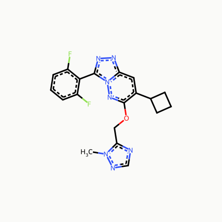 Cn1ncnc1COc1nn2c(-c3c(F)cccc3F)nnc2cc1C1CCC1